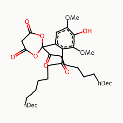 CCCCCCCCCCCCCCCC(=O)c1c(C2(C(=O)CCCCCCCCCCCCCCC)OC(=O)CC(=O)O2)cc(OC)c(O)c1OC